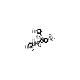 CC(Cc1ccc([N+](=O)[O-])cc1)(C(=O)NCc1ccc[nH]c1=S)C(=O)NCc1ccc[nH]c1=S